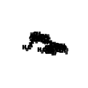 CCCCCC(=O)C1(C(O)/C=C/C(C)(C)[C@H]2CC[C@H]3/C(=C/C=C4C[C@@H](O[Si](C)(C)C(C)(C)C)C[C@H](O[Si](C)(C)C(C)(C)C)C4)CCC[C@]23C)CC1